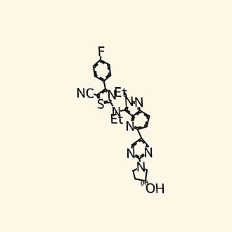 CCN(c1nc(-c2ccc(F)cc2)c(C#N)s1)c1c2nc(-c3cnc(N4CC[C@@H](O)C4)nc3)ccc2nn1CC